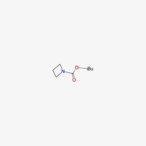 CCC(C)OC(=O)N1CCC1